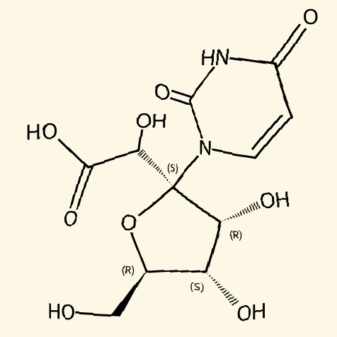 O=C(O)C(O)[C@@]1(n2ccc(=O)[nH]c2=O)O[C@H](CO)[C@@H](O)[C@H]1O